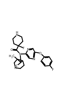 CC1(N(C(=O)C2(F)CCNCC2)c2cnc(Oc3ccc(F)cc3)cn2)CN2CCC1CC2